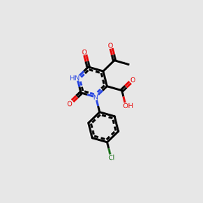 CC(=O)c1c(C(=O)O)n(-c2ccc(Cl)cc2)c(=O)[nH]c1=O